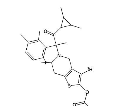 [2H]c1c(OC(C)=O)sc2c1CN(C(C)(C(=O)C1C(C)C1C)c1c(F)ccc(C)c1C)C(C)C2